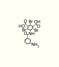 Nc1cccc(C(=O)Nc2c(Br)c(C(=O)O)c(Br)c(C(=O)O)c2Br)c1